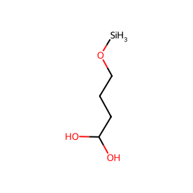 OC(O)CCCO[SiH3]